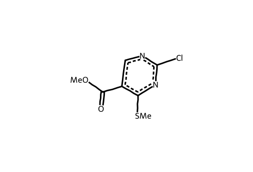 COC(=O)c1cnc(Cl)nc1SC